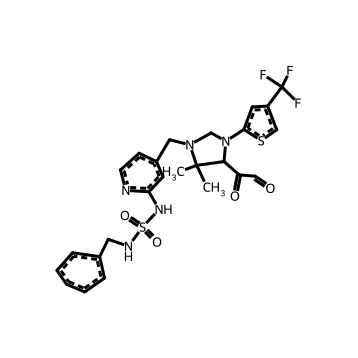 CC1(C)C(C(=O)C=O)N(c2cc(C(F)(F)F)cs2)CN1Cc1ccnc(NS(=O)(=O)NCc2ccccc2)c1